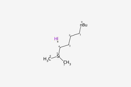 CCCCCCCC[Si](C)C.I